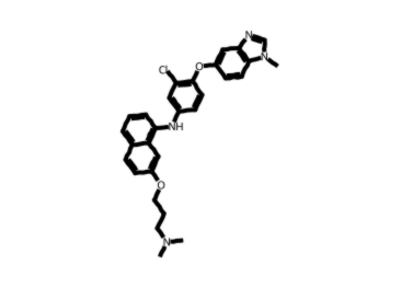 CN(C)CCCOc1ccc2cccc(Nc3ccc(Oc4ccc5c(c4)ncn5C)c(Cl)c3)c2c1